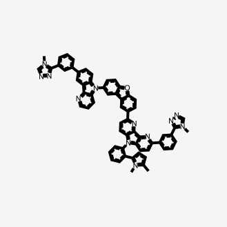 Cc1ccc(-c2ccccc2-n2c3ccc(-c4cccc(-c5nncn5C)c4)nc3c3nc(-c4ccc5oc6ccc(-n7c8ccc(-c9cccc(-c%10nncn%10C)c9)cc8c8ncccc87)cc6c5c4)ccc32)n1C